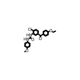 CCOc1ccc(C(=O)c2ccc(Cl)c(NC(=O)Nc3ccc(OC)cc3)c2)cc1